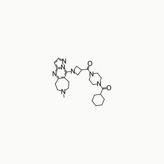 CN1CCc2nc3ccnn3c(N3CC(C(=O)N4CCN(C(=O)C5CCCCC5)CC4)C3)c2CC1